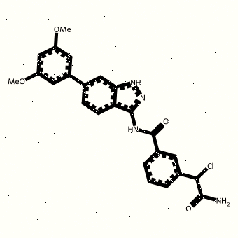 COc1cc(OC)cc(-c2ccc3c(NC(=O)c4cccc(C(Cl)C(N)=O)c4)n[nH]c3c2)c1